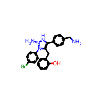 NCc1ccc(C2=C(Cc3ccccc3O)N(c3ccc(Br)cc3)N(N)N2)cc1